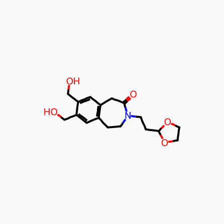 O=C1Cc2cc(CO)c(CO)cc2CCN1CCC1OCCO1